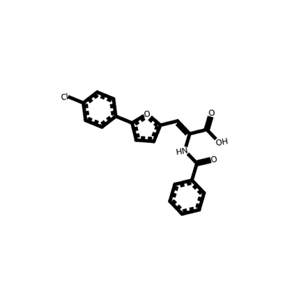 O=C(O)C(=Cc1ccc(-c2ccc(Cl)cc2)o1)NC(=O)c1ccccc1